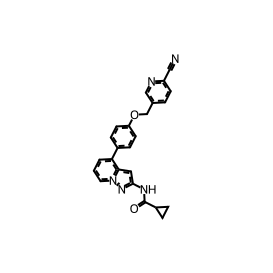 N#Cc1ccc(COc2ccc(-c3cccn4nc(NC(=O)C5CC5)cc34)cc2)cn1